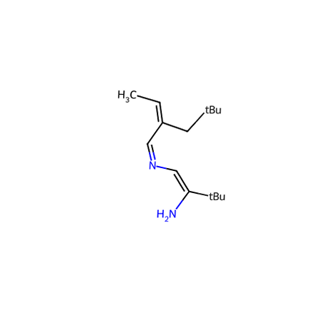 C\C=C(/C=N\C=C(/N)C(C)(C)C)CC(C)(C)C